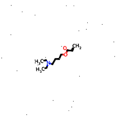 C=CC(=O)OCCCCN(CC)CC